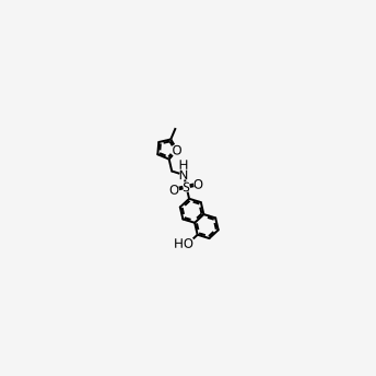 Cc1ccc(CNS(=O)(=O)c2ccc3c(O)cccc3c2)o1